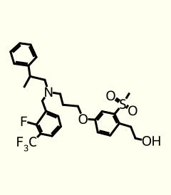 CC(CN(CCCOc1ccc(CCO)c(S(C)(=O)=O)c1)Cc1cccc(C(F)(F)F)c1F)c1ccccc1